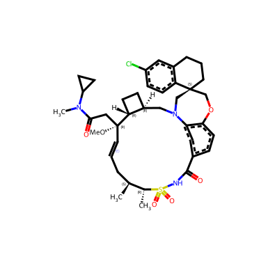 CO[C@@]1(CC(=O)N(C)C2CC2)/C=C/C[C@H](C)[C@@H](C)S(=O)(=O)NC(=O)c2ccc3c(c2)N(C[C@@H]2CC[C@H]21)C[C@@]1(CCCc2cc(Cl)ccc21)CO3